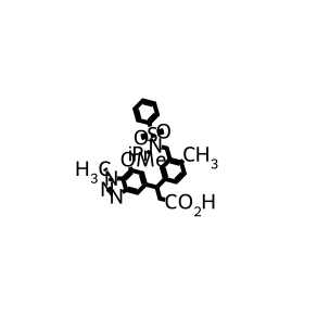 COc1cc(C(CC(=O)O)c2ccc(C)c(CN(C(C)C)S(=O)(=O)c3ccccc3)c2)cc2nnn(C)c12